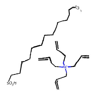 C=CC[N+](CC=C)(CC=C)CC=C.O=S(=O)(O)CCCCCCCCCCCC(F)(F)F